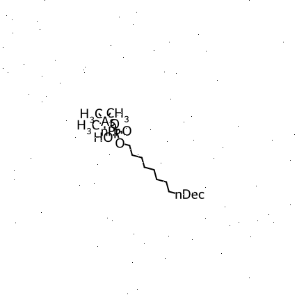 CCCCCCCCCCCCCCCCCCOP(=O)(O)O[As](C)(C)(C)CCC